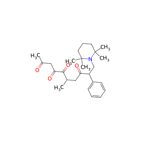 CC(=O)CC(=O)C(=O)C(C)CC(=O)C(CN1C(C)(C)CCCC1(C)C)c1ccccc1